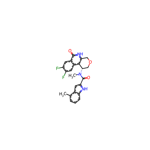 Cc1cccc2[nH]c(C(=O)N(C)[C@H]3COCc4[nH]c(=O)c5cc(F)c(F)cc5c43)cc12